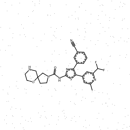 Cc1cc(-c2sc(NC(=O)N3CCC4(CNCCO4)C3)nc2-c2cccc(C#N)c2)cc(C(F)F)n1